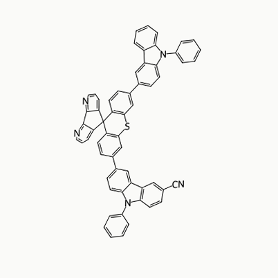 N#Cc1ccc2c(c1)c1cc(-c3ccc4c(c3)Sc3cc(-c5ccc6c(c5)c5ccccc5n6-c5ccccc5)ccc3C43c4cccnc4-c4ncccc43)ccc1n2-c1ccccc1